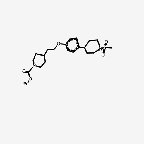 CC(C)OC(=O)N1CCC(CCOc2ccc(C3CCN(S(C)(=O)=O)CC3)cc2)CC1